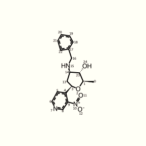 C[C@H]1O[C@@H](c2ccncc2[N+](=O)[O-])C[C@@H](NCc2ccccc2)[C@@H]1O